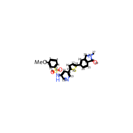 COc1cccc(S(=O)(=O)Nc2cncc(-c3ccc(-c4ccc5c(c4)CN(C)C5=O)s3)c2)c1